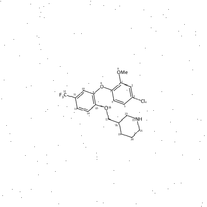 COc1cc(Cl)ccc1Oc1cc(C(F)(F)F)ccc1OCC1CCCNC1